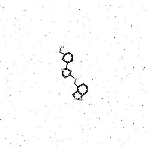 OCc1cccc(-c2nccc(NCc3cccc4[nH]ncc34)n2)c1